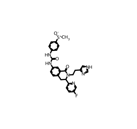 C[S+]([O-])c1ccc(NC(=O)Nc2ccc3c(c2)C(=O)N(CCc2c[nH]cn2)C(c2ccc(F)cn2)C3)cc1